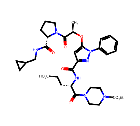 CCOC(=O)N1CCN(C(=O)[C@H](CCC(=O)O)NC(=O)c2cc(O[C@H](C)C(=O)N3CCC[C@H]3C(=O)NCC3CC3)n(-c3ccccc3)n2)CC1